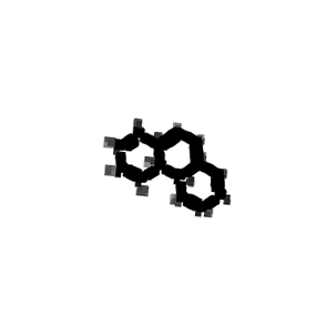 C1=PP=PP2C1=CC=C1P=PP=PP12